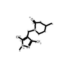 CC1CCN(Cc2c(C(F)(F)F)nn(C)c2Cl)C(=O)C1